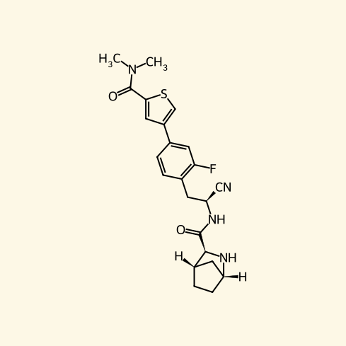 CN(C)C(=O)c1cc(-c2ccc(C[C@@H](C#N)NC(=O)[C@H]3N[C@@H]4CC[C@H]3C4)c(F)c2)cs1